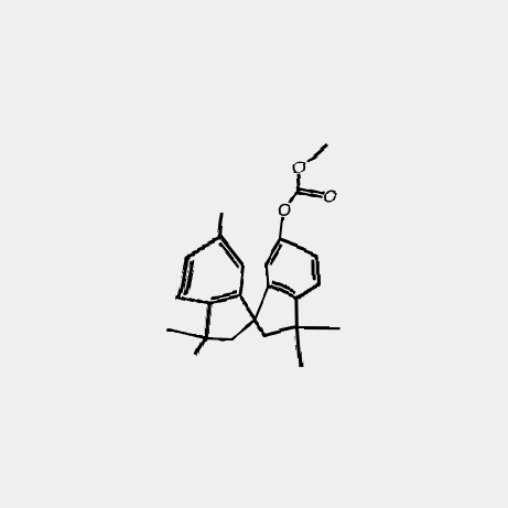 COC(=O)Oc1ccc2c(c1)C1(CC(C)(C)c3ccc(C)cc31)CC2(C)C